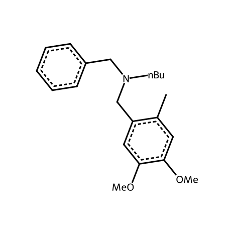 CCCCN(Cc1ccccc1)Cc1cc(OC)c(OC)cc1C